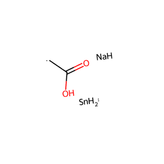 [CH2]C(=O)O.[NaH].[SnH2]